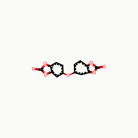 O=c1oc2ccc(Oc3ccc4oc(=O)oc4c3)cc2o1